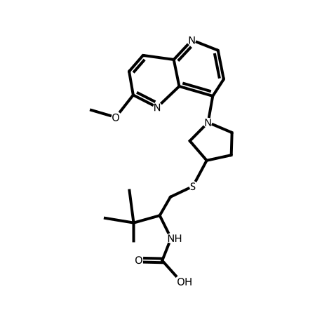 COc1ccc2nccc(N3CCC(SCC(NC(=O)O)C(C)(C)C)C3)c2n1